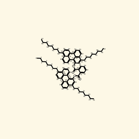 CCCCCCCCc1ccc2c3cccc4c(CCCCCCCC)cc(OC(=O)c5ccccc5C(=O)Oc5cc(CCCCCCCC)c6cccc7c8ccc(CCCCCCCC)c9cccc(c5c67)c98)c(c5cccc1c25)c43